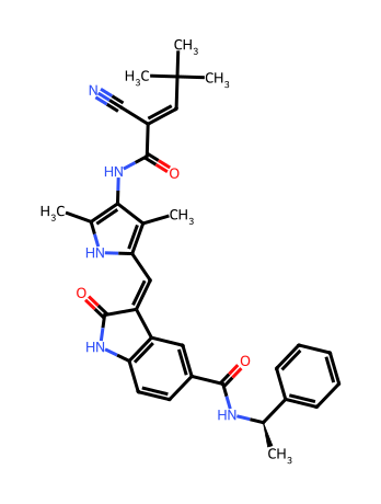 Cc1[nH]c(C=C2C(=O)Nc3ccc(C(=O)N[C@H](C)c4ccccc4)cc32)c(C)c1NC(=O)/C(C#N)=C/C(C)(C)C